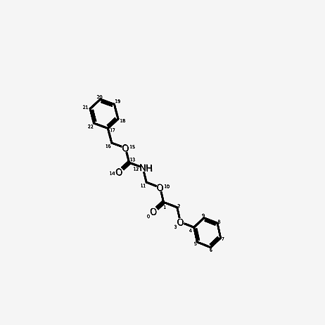 O=C(COc1ccccc1)OCNC(=O)OCc1ccccc1